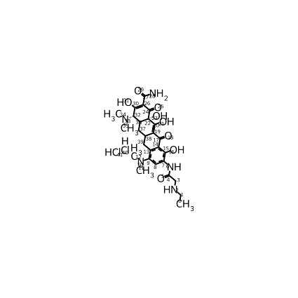 CCNCC(=O)Nc1cc(N(C)C)c2c(c1O)C(=O)C1=C(O)[C@]3(O)C(=O)C(C(N)=O)=C(O)[C@@H](N(C)C)C3CC1C2.Cl.Cl